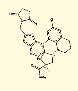 COC(=O)[C@]1(C)C[C@@H](N2CCCc3cc(Cl)cc(-c4ccnc5cc(CN6C(=O)CCC6=O)sc45)c32)CN1